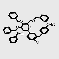 CCOc1ccc(Cc2cc([C@@H]3O[C@H](COCc4ccccc4)[C@@H](OCc4ccccc4)[C@H](OCc4ccccc4)[C@H]3OCc3ccccc3)ccc2Cl)cc1